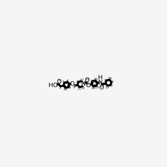 O=C(O)Cc1ccc(OCC2CCN(C(=O)Oc3ccc(NC(=O)C4CCCCC4)cc3)CC2)cc1